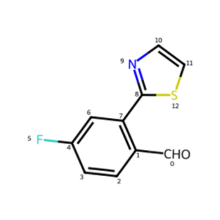 O=Cc1ccc(F)cc1-c1nccs1